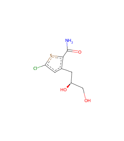 NC(=O)c1sc(Cl)cc1C[C@H](O)CO